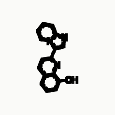 Oc1cccc2ccc(-c3cnc4ccccn34)nc12